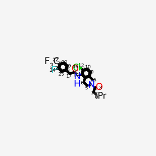 CC(C)CC(=O)N1CCc2c(ccc(Cl)c2NC(=O)Cc2ccc(C(F)(F)F)c(F)c2)C1